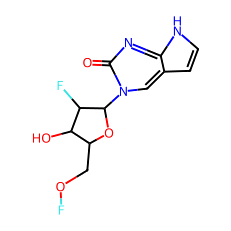 O=c1nc2[nH]ccc2cn1C1OC(COF)C(O)C1F